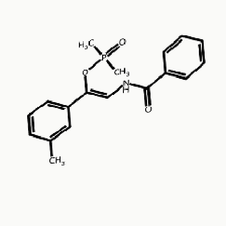 Cc1cccc(C(=CNC(=O)c2ccccc2)OP(C)(C)=O)c1